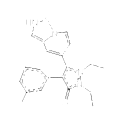 CCn1c(C2=CC3=CNSN3C=C2)c(-c2cccc(C)c2)c(=O)n1CC